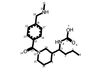 CCCC(NC(=O)O)C1CCCN(C(=O)c2ccc(CNC)cc2)C1